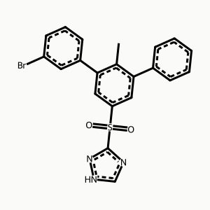 Cc1c(-c2ccccc2)cc(S(=O)(=O)c2nc[nH]n2)cc1-c1cccc(Br)c1